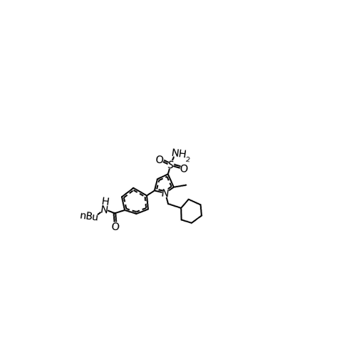 CCCCNC(=O)c1ccc(-c2cc(S(N)(=O)=O)c(C)n2CC2CCCCC2)cc1